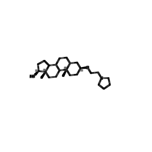 C[C@]12CC[C@H](OCCN3CCCC3)CC1CCC1C2CC[C@@]2(C)C1CC[C@@H]2O